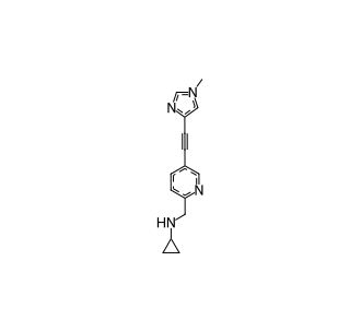 Cn1cnc(C#Cc2ccc(CNC3CC3)nc2)c1